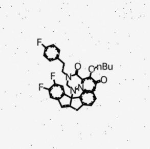 CCCCOc1c2n(ccc1=O)N(C13C(=Cc4cc(F)c(F)cc41)Cc1ccccc13)CN(CCc1ccc(F)cc1)C2=O